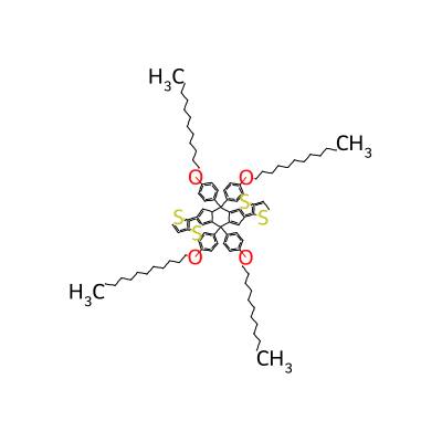 CCCCCCCCCCCCOc1ccc(C2(c3ccc(OCCCCCCCCCCCC)cc3)C3=Cc4c5c(sc4=C3C(c3ccc(OCCCCCCCCCCCC)cc3)(c3ccc(OCCCCCCCCCCCC)cc3)C3C=c4c(sc6ccsc46)=C32)=CCS5)cc1